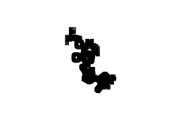 Cc1nn(C)cc1-c1ccc(CN2Cc3ncnc(OCC(F)F)c3C2=O)s1